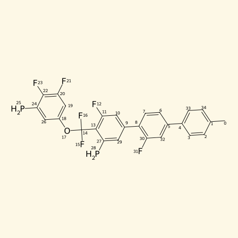 Cc1ccc(-c2ccc(-c3cc(F)c(C(F)(F)Oc4cc(F)c(F)c(P)c4)c(P)c3)c(F)c2)cc1